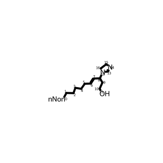 CCCCCCCCCCCCCCC=CC(CCO)N1C=NCC1